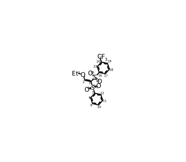 CCO/C=C(/S(=O)(=O)c1ccccc1)S(=O)(=O)c1cccc(C(F)(F)F)c1